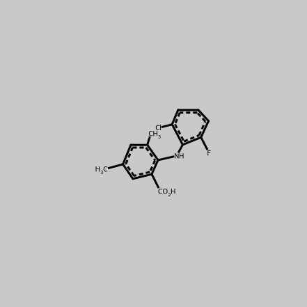 Cc1cc(C)c(Nc2c(F)cccc2Cl)c(C(=O)O)c1